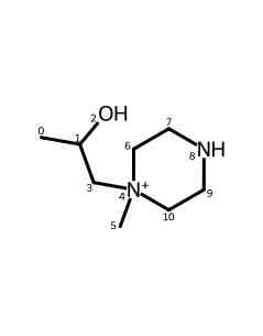 CC(O)C[N+]1(C)CCNCC1